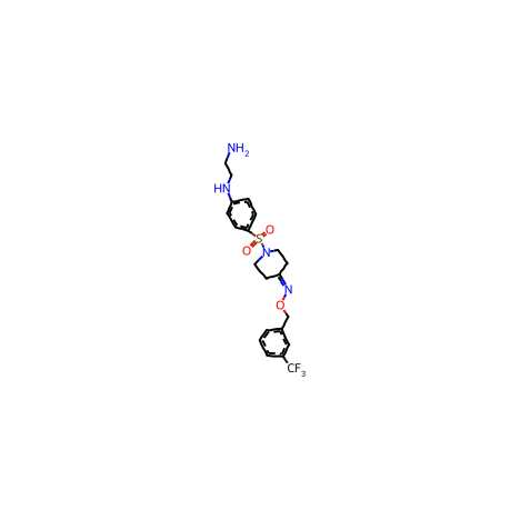 NCCNc1ccc(S(=O)(=O)N2CCC(=NOCc3cccc(C(F)(F)F)c3)CC2)cc1